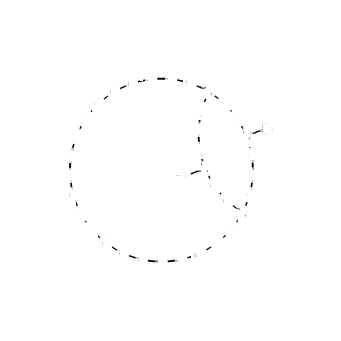 CCN1CCCN2CCCCCCCCCCCCCCCCCCCCCN(CCCN(CC)CC2)CC1